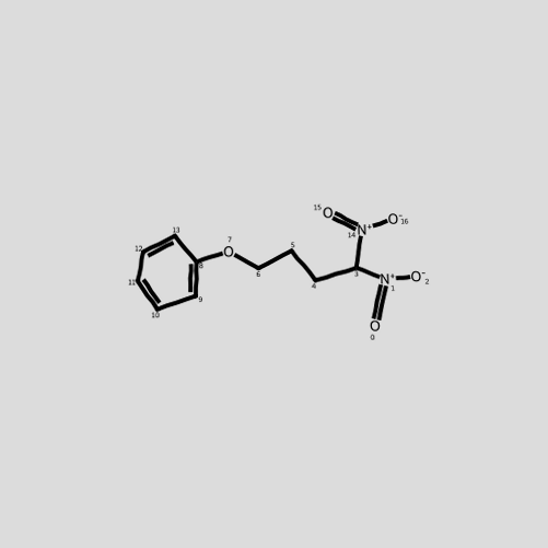 O=[N+]([O-])C(CCCOc1ccccc1)[N+](=O)[O-]